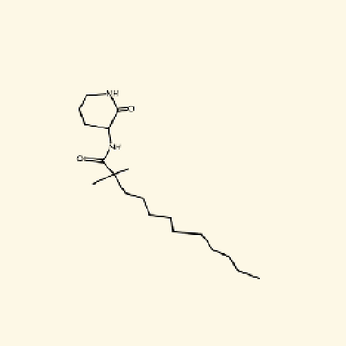 CCCCCCCCCCC(C)(C)C(=O)NC1CCCNC1=O